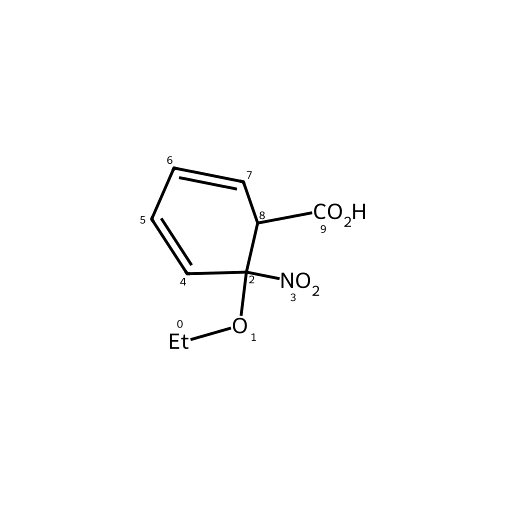 CCOC1([N+](=O)[O-])C=CC=CC1C(=O)O